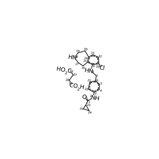 O=C(Nc1ccc(CNc2c(Cl)ccc3c2CCNCC3)cc1)C1CC1.O=C(O)CCC(=O)O